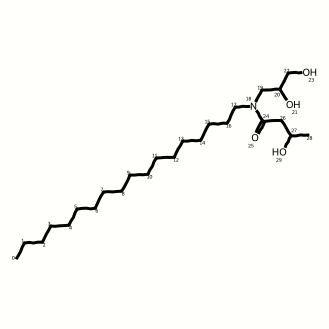 CCCCCCCCCCCCCCCCCCN(CC(O)CO)C(=O)CC(C)O